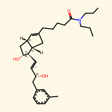 CCCN(CCC)C(=O)CCCCC1=C[C@H]2C[C@@H](O)[C@H](/C=C/[C@H](O)Cc3cccc(C)c3)[C@H]2C1